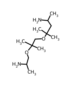 CC(N)COC(C)(C)COC(C)(C)CC(C)N